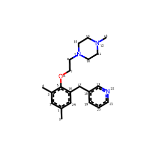 Cc1cc(C)c(OCCN2CCN(C)CC2)c(Cc2cccnc2)c1